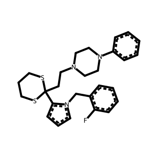 Fc1ccccc1Cn1cccc1C1(CCN2CCN(c3ccccc3)CC2)SCCCS1